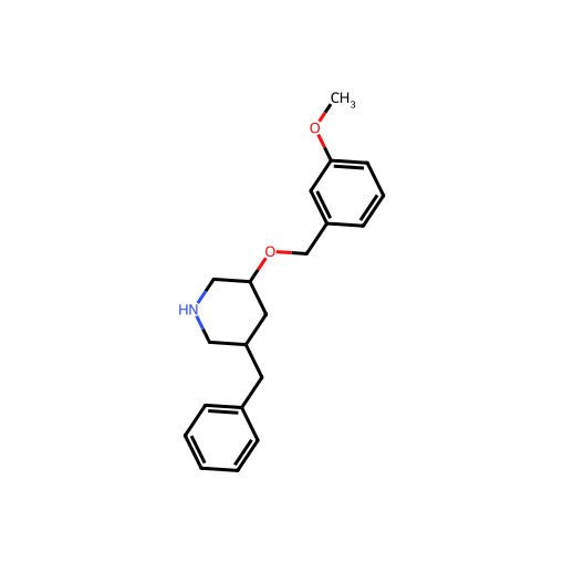 COc1cccc(COC2CNCC(Cc3ccccc3)C2)c1